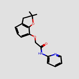 CC1(C)Cc2cccc(OCC(=O)Nc3ccccn3)c2O1